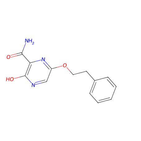 NC(=O)c1nc(OCCc2ccccc2)cnc1O